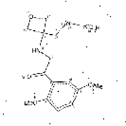 COc1ccc(OC)c(C(=O)CNC2(CNC(=O)O)COC2)c1